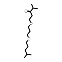 CC(C)CCCOCCCOCCC(=O)C(C)C